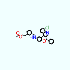 CC(=O)OCCc1cccc(CNc2cccc(-c3c(C(=O)c4ccccc4)cnc4c(Cl)cccc34)c2)c1